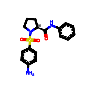 Nc1ccc(S(=O)(=O)N2CCC[C@H]2C(=O)Nc2ccccc2)cc1